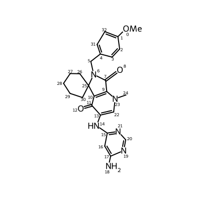 COc1ccc(CN2C(=O)c3c(c(=O)c(Nc4cc(N)ncn4)cn3C)C23CCCCC3)cc1